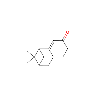 CC1(C)C2CC3CCC(=O)C=C3C1C2